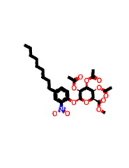 CCCCCCCCCc1ccc(O[C@@H]2O[C@H](C(=O)OC)[C@@H](OC(C)=O)[C@H](OC(C)=O)[C@H]2OC(C)=O)c([N+](=O)[O-])c1